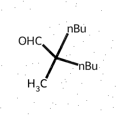 CCCCC(C)(C=O)CCCC